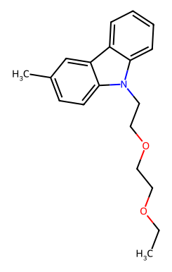 CCOCCOCCn1c2ccccc2c2cc(C)ccc21